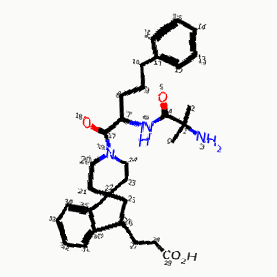 CC(C)(N)C(=O)NC(CCCc1ccccc1)C(=O)N1CCC2(CC1)CC(CCC(=O)O)c1ccccc12